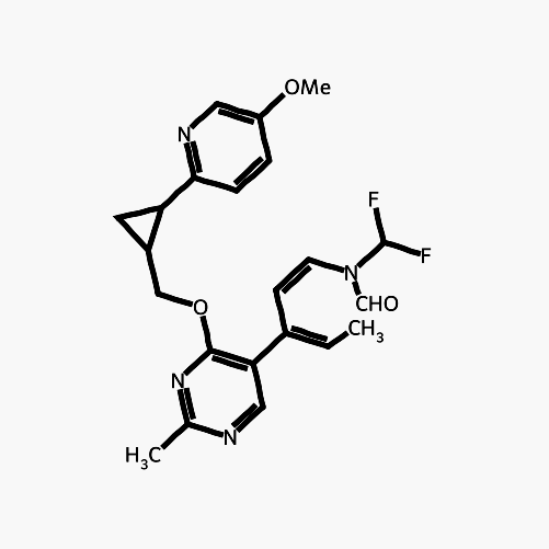 C/C=C(\C=C/N(C=O)C(F)F)c1cnc(C)nc1OCC1CC1c1ccc(OC)cn1